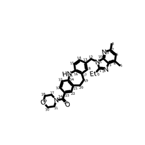 CCc1nc2c(C)cc(C)nc2n1Cc1ccc2c(c1)CCc1cc(C(=O)N3CCOCC3)ccc1N2